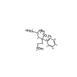 CCCCCCCCCCCCC(CC(CCCC)CCCCCC)(c1ccccc1)S(=O)(=O)O